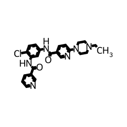 CCN1CCN(c2ccc(C(=O)Nc3ccc(Cl)c(NC(=O)c4cccnc4)c3)cn2)CC1